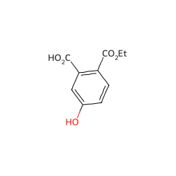 CCOC(=O)c1ccc(O)cc1C(=O)O